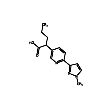 CCCC(C(=O)O)c1ccc(-c2ccn(C)n2)nc1